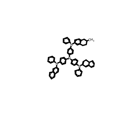 CC1CCc2cc(N(c3ccccc3)c3ccc(N(c4ccc(N(C5=CCC6C=CC=CC6=C5)c5ccccc5)cc4)c4ccc(N(c5ccccc5)c5ccc6ccccc6c5)cc4)cc3)ccc2C1